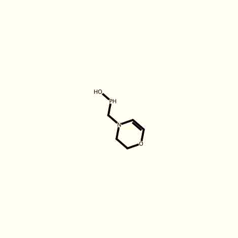 OPCN1C=COCC1